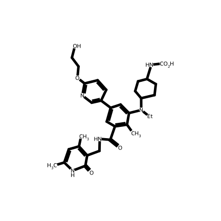 CCN(c1cc(-c2ccc(OCCO)nc2)cc(C(=O)NCc2c(C)cc(C)[nH]c2=O)c1C)C1CCC(NC(=O)O)CC1